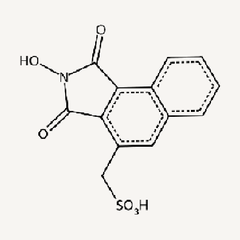 O=C1c2c(CS(=O)(=O)O)cc3ccccc3c2C(=O)N1O